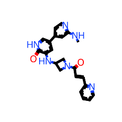 CNc1cc(-c2c[nH]c(=O)c(NC3CN(C(=O)C=Cc4ccccn4)C3)c2)ccn1